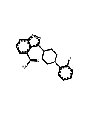 NC(=O)c1cccc2onc(N3CCN(c4ccccc4Cl)CC3)c12